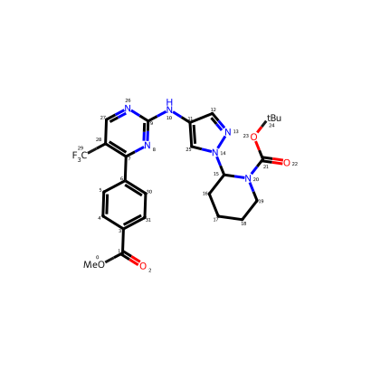 COC(=O)c1ccc(-c2nc(Nc3cnn(C4CCCCN4C(=O)OC(C)(C)C)c3)ncc2C(F)(F)F)cc1